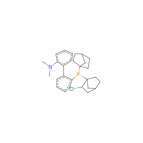 CN(C)c1ccccc1-c1ccccc1P(C12CCC(CC1)C2)C12CCC(CC1Cl)C2